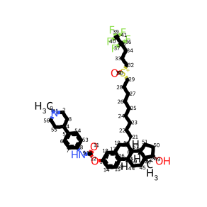 CN1CCC(c2ccc(NC(=O)Oc3ccc4c(c3)C[C@@H](CCCCCCCCC[S+]([O-])CCCC(F)(F)C(F)(F)F)[C@@H]3[C@@H]4CC[C@]4(C)[C@@H](O)CC[C@@H]34)cc2)CC1